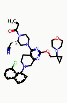 C=CC(=O)N1CCN(c2nc(OCC3(N4CCOCC4)CC3)nc3c2CCN(c2cccc4cccc(Cl)c24)C3)C[C@@H]1CC#N